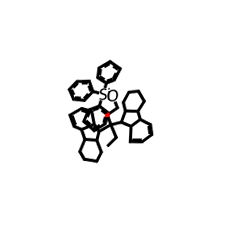 CCC(CCO[Si](c1ccccc1)(c1ccccc1)c1ccccc1)(C1C2C=CC=CC2C2CCCCC21)C1C2C=CC=CC2C2CCCCC21